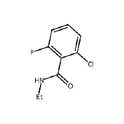 CCNC(=O)c1c(F)cccc1Cl